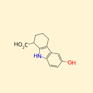 O=C(O)C1CCCc2c1[nH]c1ccc(O)cc21